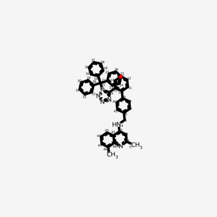 Cc1cc(NCc2ccc(-c3ccccc3-c3nnnn3C(c3ccccc3)(c3ccccc3)c3ccccc3)cc2)c2cccc(C)c2n1